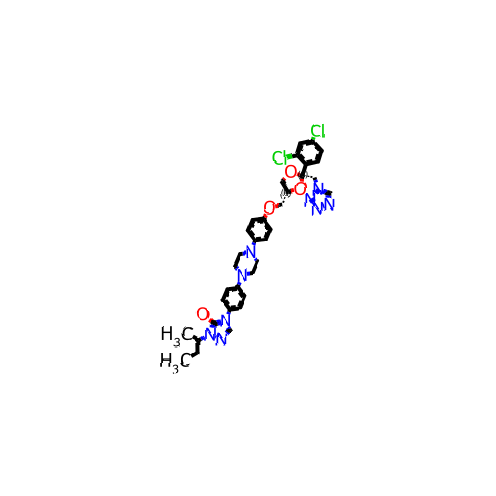 CCC(C)n1ncn(-c2ccc(N3CCN(c4ccc(OC[C@@H]5CO[C@@](Cn6cnnn6)(c6ccc(Cl)cc6Cl)O5)cc4)CC3)cc2)c1=O